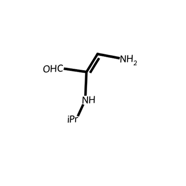 CC(C)N/C(C=O)=C\N